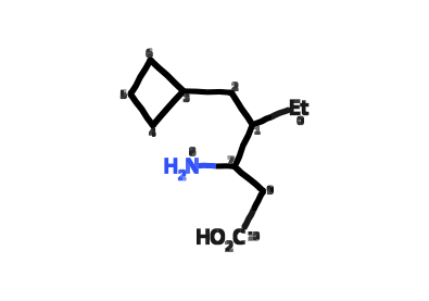 CCC(CC1CCC1)C(N)CC(=O)O